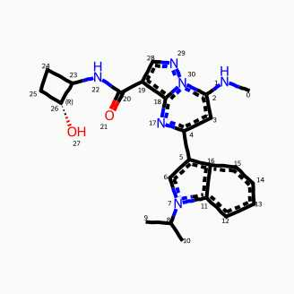 CNc1cc(-c2cn(C(C)C)c3ccccc23)nc2c(C(=O)NC3CC[C@H]3O)cnn12